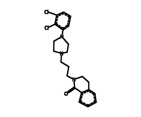 O=C1c2ccccc2CCN1CCCN1CCN(c2cccc(Cl)c2Cl)CC1